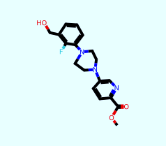 COC(=O)c1ccc(N2CCN(c3cccc(CO)c3F)CC2)cn1